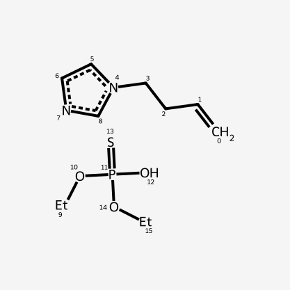 C=CCCn1ccnc1.CCOP(O)(=S)OCC